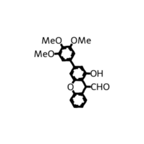 COc1cc(-c2cc(O)c3c(c2)Oc2ccccc2C3C=O)cc(OC)c1OC